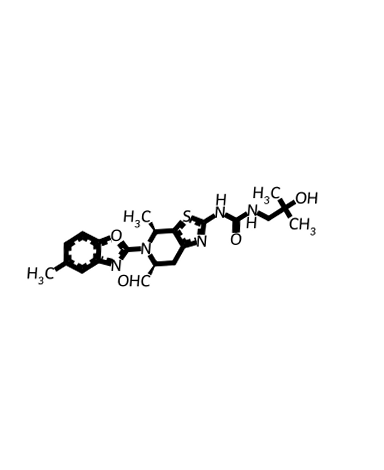 Cc1ccc2oc(N3[C@H](C=O)Cc4nc(NC(=O)NCC(C)(C)O)sc4[C@@H]3C)nc2c1